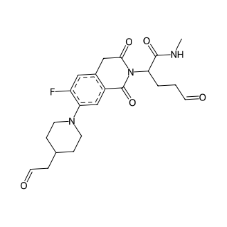 CNC(=O)C(CCC=O)N1C(=O)Cc2cc(F)c(N3CCC(CC=O)CC3)cc2C1=O